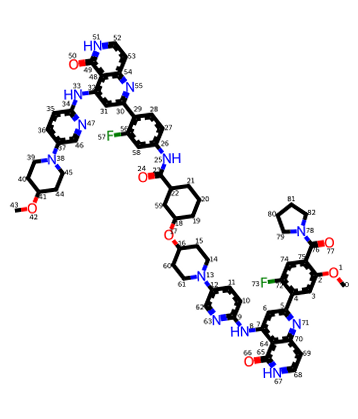 COc1cc(-c2cc(Nc3ccc(N4CCC(OC5CCCC(C(=O)Nc6ccc(-c7cc(Nc8ccc(N9CCC(OC)CC9)cn8)c8c(=O)[nH]ccc8n7)c(F)c6)C5)CC4)cn3)c3c(=O)[nH]ccc3n2)c(F)cc1C(=O)N1CCCC1